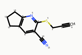 C#CCSc1nc2c(cc1C#N)CCC2